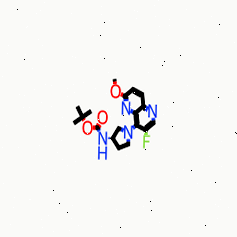 COc1ccc2ncc(F)c(N3CC[C@H](NC(=O)OC(C)(C)C)C3)c2n1